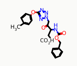 Cc1ccc(Oc2nnn(CC(=O)C(CC(=O)O)NC(=O)OCc3ccccc3)n2)cc1